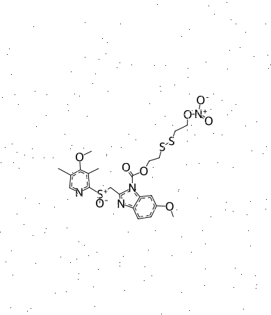 COc1ccc2nc(C[S+]([O-])c3ncc(C)c(OC)c3C)n(C(=O)OCCSSCCO[N+](=O)[O-])c2c1